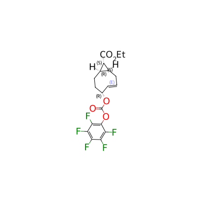 CCOC(=O)[C@H]1[C@@H]2CC[C@@H](OC(=O)Oc3c(F)c(F)c(F)c(F)c3F)/C=C/C[C@@H]21